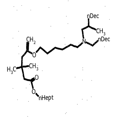 C=C(CC(C)(C)CC(=O)OCCCCCCC)OCCCCCCN(CCCCCCCCCCC)CC(C)CCCCCCCCCC